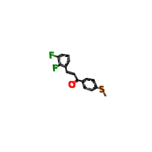 CSc1ccc(C(=O)C=Cc2cccc(F)c2F)cc1